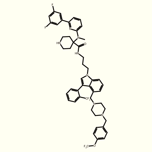 CN(c1cccc(-c2cc(F)cc(F)c2)n1)C1(C(=O)NCCCn2cc(-c3ccccc3C(F)(F)F)c3c(CN4CCN(Cc5ccc(OC(F)(F)F)cc5)CC4)cccc32)CCNCC1